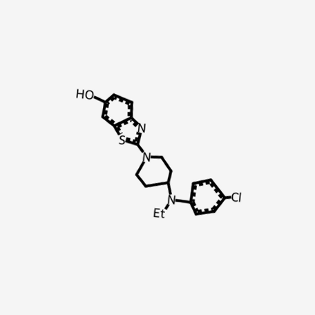 CCN(c1ccc(Cl)cc1)C1CCN(c2nc3ccc(O)cc3s2)CC1